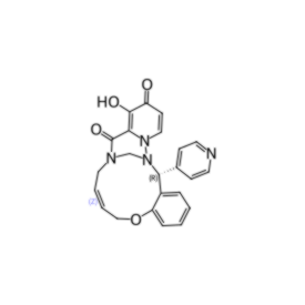 O=C1c2c(O)c(=O)ccn2N2CN1C/C=C\COc1ccccc1[C@H]2c1ccncc1